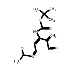 C=C(C=O)/C(=C\C=N/C(C)Cl)NC(=O)OC(C)(C)C